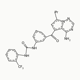 CC(C)c1cc(C(=O)c2cccc(NC(=O)Nc3ccccc3C(F)(F)F)c2)c2c(N)ncnn12